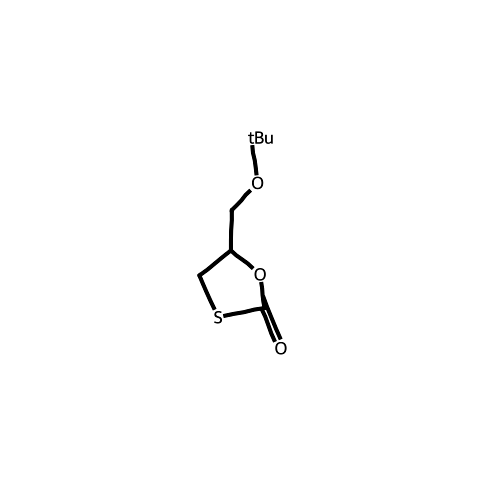 CC(C)(C)OCC1CSC(=O)O1